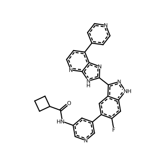 O=C(Nc1cncc(-c2cc3c(-c4nc5c(-c6ccncc6)ccnc5[nH]4)n[nH]c3cc2F)c1)C1CCC1